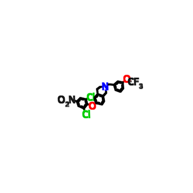 O=[N+]([O-])c1cc(Cl)c(Oc2ccc3c(c2)CCN(Cc2cccc(OC(F)(F)F)c2)C3)c(Cl)c1